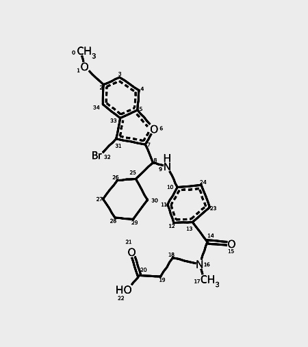 COc1ccc2oc(C(Nc3ccc(C(=O)N(C)CCC(=O)O)cc3)C3CCCCC3)c(Br)c2c1